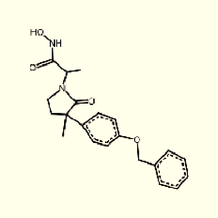 CC(C(=O)NO)N1CCC(C)(c2ccc(OCc3ccccc3)cc2)C1=O